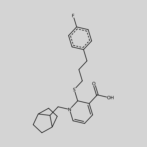 O=C(O)C1=CC=CN(CC2C3CCC2CC3)C1SCCCc1ccc(F)cc1